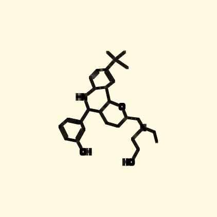 CCN(CCO)CC1CCC2C(c3cccc(O)c3)NC3C=CC(C(C)(C)C)=CC3C2O1